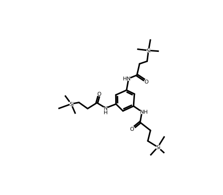 C[Si](C)(C)CCC(=O)Nc1cc(NC(=O)CC[Si](C)(C)C)cc(NC(=O)CC[Si](C)(C)C)c1